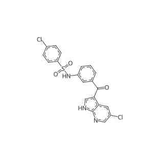 O=C(c1cccc(NS(=O)(=O)c2ccc(Cl)cc2)c1)c1c[nH]c2ncc(Cl)cc12